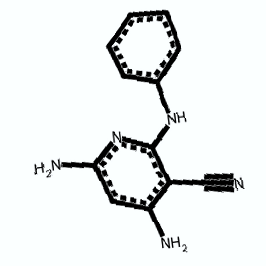 N#Cc1c(N)cc(N)nc1Nc1ccccc1